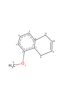 COc1cccc2c1CC=CC2